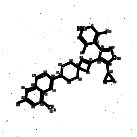 CC1=CNCC(F)=C1c1noc(C2CC2)c1C1=CC2(CCN(c3ccc4nc(C)cc(C(F)(F)F)c4c3)CC2)C1